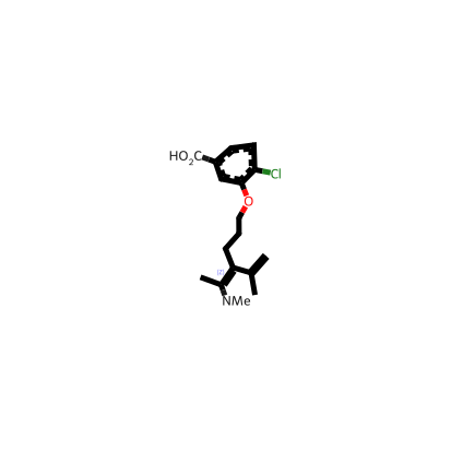 C=C(C)/C(CCCOc1cc(C(=O)O)ccc1Cl)=C(/C)NC